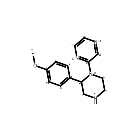 CCOc1ccc(C2CNCCN2c2cnccn2)cc1